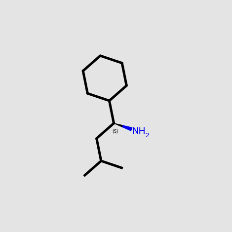 CC(C)C[C@H](N)C1CCCCC1